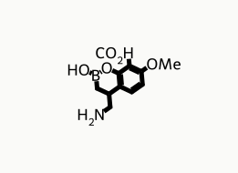 COc1ccc2c(c1C(=O)O)OB(O)CC2CN